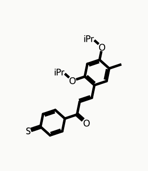 Cc1cc(/C=C/C(=O)C2C=CC(=S)C=C2)c(OC(C)C)cc1OC(C)C